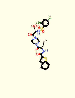 CC(C)C[C@H](NC(=O)c1cc2ccccc2s1)C(=O)N1CCN(C(=O)[C@@H](CO)NS(=O)(=O)c2ccc(Cl)cc2Cl)CC1